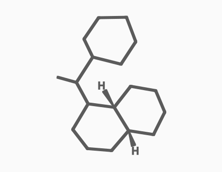 CC(C1CCCCC1)C1CCC[C@H]2CCCC[C@@H]12